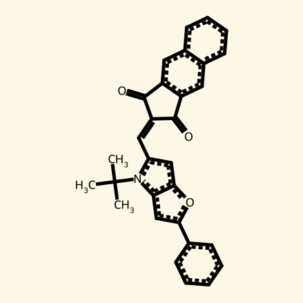 CC(C)(C)n1c(C=C2C(=O)c3cc4ccccc4cc3C2=O)cc2oc(-c3ccccc3)cc21